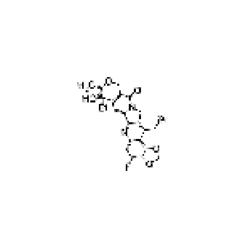 C=C1OCc2c(cc3n(c2=O)Cc2c-3nc3cc(F)c4c(c3c2CC(C)C)OCO4)[C@@]1(O)CC